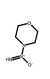 N=[N+]([O-])N1CCOCC1